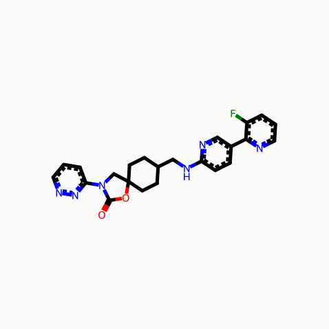 O=C1OC2(CCC(CNc3ccc(-c4ncccc4F)cn3)CC2)CN1c1cccnn1